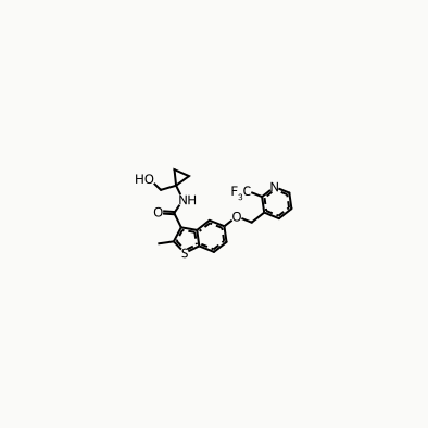 Cc1sc2ccc(OCc3cccnc3C(F)(F)F)cc2c1C(=O)NC1(CO)CC1